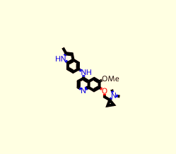 COc1cc2c(Nc3ccc4[nH]c(C)cc4c3)ccnc2cc1OCC1(N(C)C)CC1